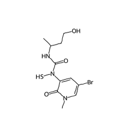 CC(CCO)NC(=O)N(S)c1cc(Br)cn(C)c1=O